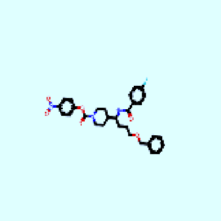 O=C(NC(CCCOCc1ccccc1)C1CCN(C(=O)Oc2ccc([N+](=O)[O-])cc2)CC1)c1ccc(F)cc1